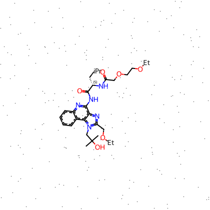 CCOCCOCC(=O)N[C@@H](CC(C)C)C(=O)Nc1nc2ccccc2c2c1nc(COCC)n2CC(C)(C)O